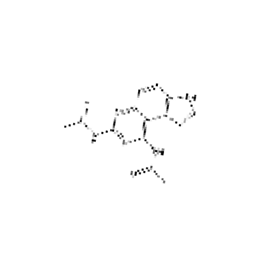 CC(=O)Nc1nc(NC(C)=O)c2c(ccc3[nH]ccc32)n1